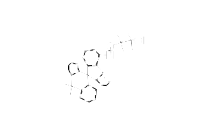 CC1(C)c2ccccc2C2(c3ccccc3-c3c(BOC(C)(C)C(C)(C)O)cccc32)c2ccccc21